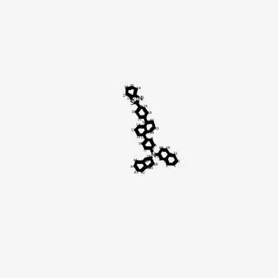 c1ccc2cc(N(c3ccc(-c4cccc5c(-c6ccc(-c7nc8ccccc8s7)cc6)cccc45)cc3)c3ccc4ccccc4c3)ccc2c1